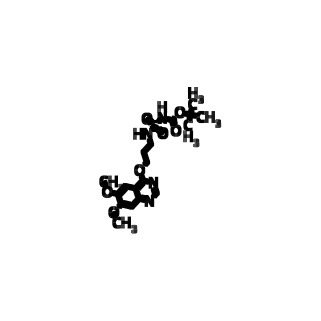 COc1cc2ncnc(OCCCNS(=O)(=O)NC(=O)OC(C)(C)C)c2cc1OC